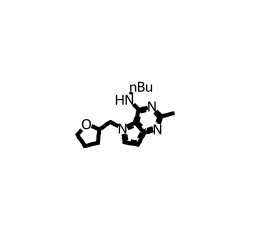 CCCCNc1nc(C)nc2ccn(CC3CCCO3)c12